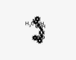 Cc1cc(NC(=O)NCCN2CCN(C(=O)Nc3ccccc3-c3ccccc3)CC2)c2ccccc2n1